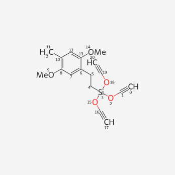 C#CO[Si](CCc1cc(OC)c(C)cc1OC)(OC#C)OC#C